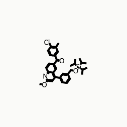 COc1cc(-c2cccc(CO[Si](C(C)C)(C(C)C)C(C)C)c2)c2cc(C(=O)c3ccc(Cl)c(C)c3)ccc2n1